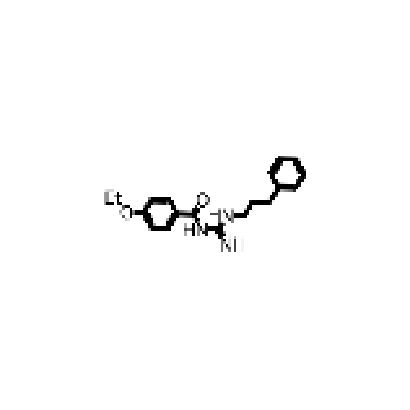 CCOc1ccc(C(=O)NC(=N)NCCCc2ccccc2)cc1